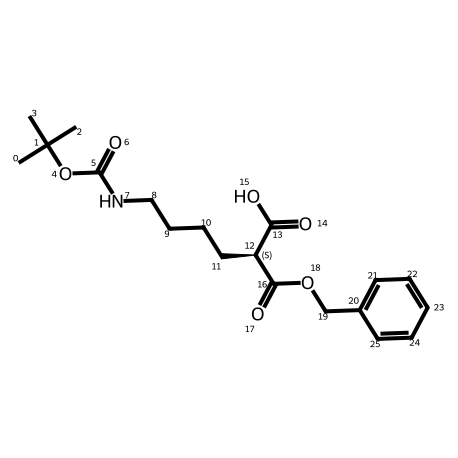 CC(C)(C)OC(=O)NCCCC[C@@H](C(=O)O)C(=O)OCc1ccccc1